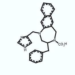 O=C(O)N1Cc2cc3ccccc3cc2N(Cc2c[nH]cn2)CC1Cc1ccccc1